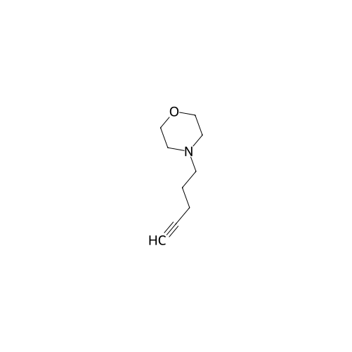 C#CCCCN1CCOCC1